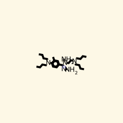 CCCCN(CCCC)CCN(N)/C(=N\N)c1ccc(N(CCCC)CCCC)c(C)c1